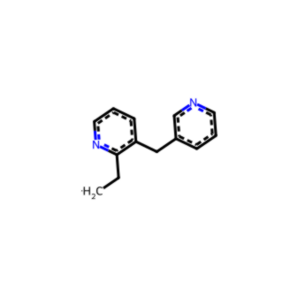 [CH2]Cc1ncccc1Cc1cccnc1